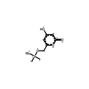 CC(C)(C)[Si](C)(C)OCc1cc(O)cc(=O)o1